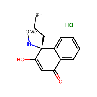 CON[C@@]1(CCC(C)C)C(O)=CC(=O)c2ccccc21.Cl